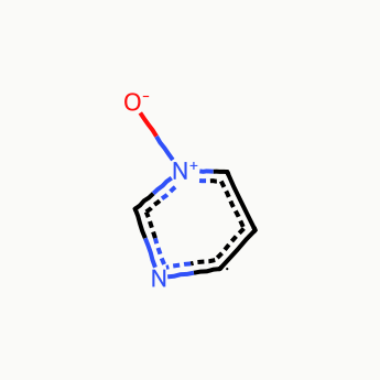 [O-][n+]1cc[c]nc1